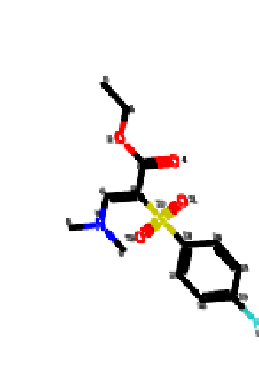 CCOC(=O)/C(=C/N(C)C)S(=O)(=O)c1ccc(F)cc1